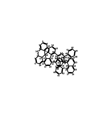 C1=CC2Sc3ccccc3C3(c4cccc(-c5ccc(-c6cccc7cccnc67)cc5)c4-c4c(-c5cc(-c6ccccc6)nc(-c6ccccc6)n5)cccc43)C2C=C1